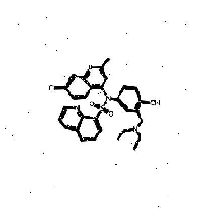 CCN(CC)Cc1cc(N(c2cc(C)nc3cc(Cl)ccc23)S(=O)(=O)c2cccc3cccnc23)ccc1O